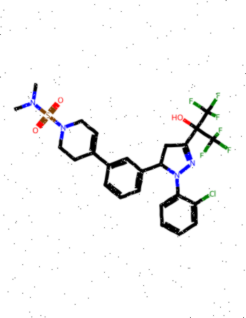 CN(C)S(=O)(=O)N1CC=C(c2cccc(C3CC(C(O)(C(F)(F)F)C(F)(F)F)=NN3c3ccccc3Cl)c2)CC1